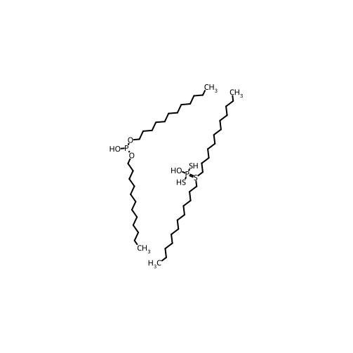 CCCCCCCCCCCCOP(O)OCCCCCCCCCCCC.CCCCCCCCCCCCS(CCCCCCCCCCCC)=P(O)(S)S